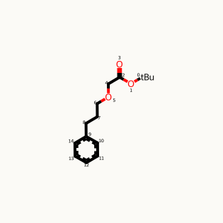 CC(C)(C)OC(=O)COCCCc1ccccc1